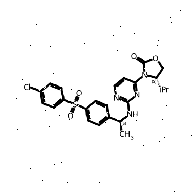 CC(C)[C@H]1COC(=O)N1c1ccnc(N[C@@H](C)c2ccc(S(=O)(=O)c3ccc(Cl)cc3)cc2)n1